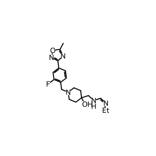 CC/N=C\NCC1(O)CCN(Cc2ccc(-c3noc(C)n3)cc2F)CC1